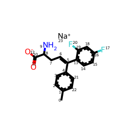 Cc1ccc(/C(=C\CC(N)C(=O)[O-])c2ccc(F)cc2F)cc1.[Na+]